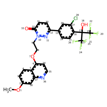 COc1ccc2c(OCCn3nc(-c4ccc(C(O)(C(F)(F)F)C(F)(F)F)c(Cl)c4)ccc3=O)ccnc2c1